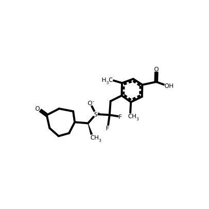 Cc1cc(C(=O)O)cc(C)c1CC(F)(F)[S+]([O-])[C@@H](C)C1CCCC(=O)CC1